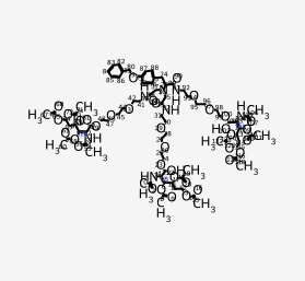 CC(=O)N/C(=C(\OC(C)=O)C(CCOC(C)=O)OC(C)=O)C(O)OCCOCCOCCNC(=O)CN(CC(=O)NCCOCCOCCOC(O)/C(NC(C)=O)=C(/OC(C)=O)C(CCOC(C)=O)OC(C)=O)C(Cc1ccc(OCc2ccccc2)cc1)C(=O)NCCOCCOCCOC(O)/C(NC(C)=O)=C(/OC(C)=O)C(CCOC(C)=O)OC(C)=O